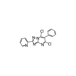 Clc1nc2nc(-c3ccccn3)nn2c(Cl)c1-c1ccccc1